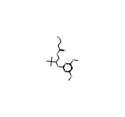 COc1cc(OC)nc(SC(COC(=O)CCBr)C(C)(C)C)n1